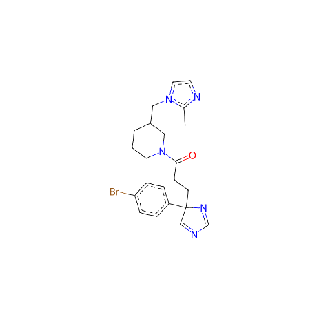 Cc1nccn1CC1CCCN(C(=O)CCC2(c3ccc(Br)cc3)C=NC=N2)C1